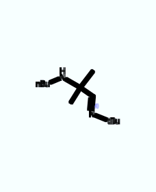 CCCCNC(C)(C)/C=N/C(C)(C)C